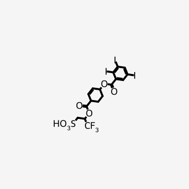 O=C(OC1C=CC(C(=O)OC(CS(=O)(=O)O)C(F)(F)F)CC1)c1cc(I)cc(I)c1I